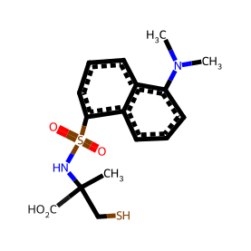 CN(C)c1cccc2c(S(=O)(=O)NC(C)(CS)C(=O)O)cccc12